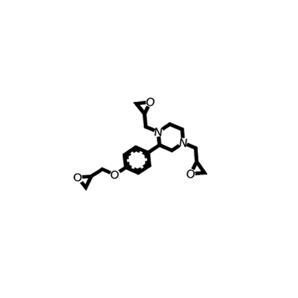 c1cc(C2CN(CC3CO3)CCN2CC2CO2)ccc1OCC1CO1